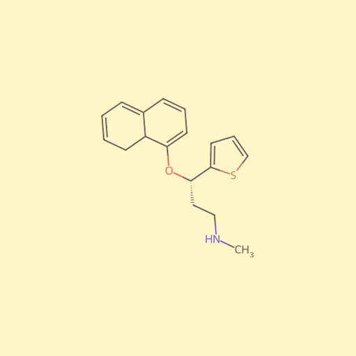 CNCC[C@H](OC1=CC=CC2=CC=CCC21)c1cccs1